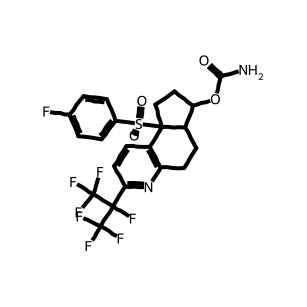 NC(=O)OC1CCC2(S(=O)(=O)c3ccc(F)cc3)c3ccc(C(F)(C(F)(F)F)C(F)(F)F)nc3CCC12